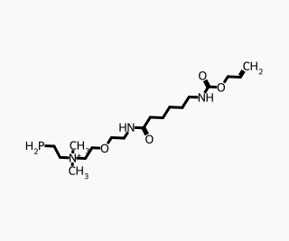 C=CCOC(=O)NCCCCCC(=O)NCCOCC[N+](C)(C)CCP